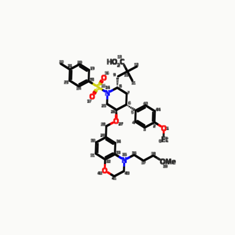 CCOc1ccc([C@H]2C[C@@H](CC(C)(C)C(=O)O)N(S(=O)(=O)c3ccc(C)cc3)C[C@@H]2OCc2ccc3c(c2)N(CCCOC)CCO3)cc1